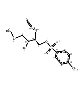 CCCCOC[C@H](O)[C@H](COS(=O)(=O)c1ccc(C)cc1)N=[N+]=[N-]